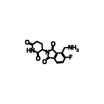 NCc1c(F)ccc2c1C(=O)N(C1CCC(=O)NC1=O)C2=O